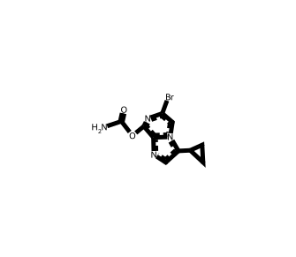 NC(=O)Oc1nc(Br)cn2c(C3CC3)cnc12